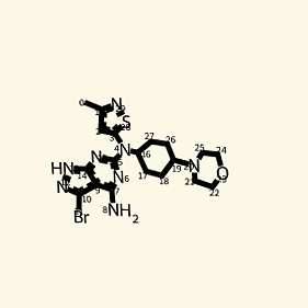 Cc1cc(N(c2nc(N)c3c(Br)n[nH]c3n2)C2CCC(N3CCOCC3)CC2)sn1